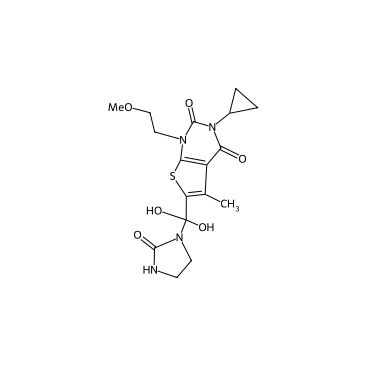 COCCn1c(=O)n(C2CC2)c(=O)c2c(C)c(C(O)(O)N3CCNC3=O)sc21